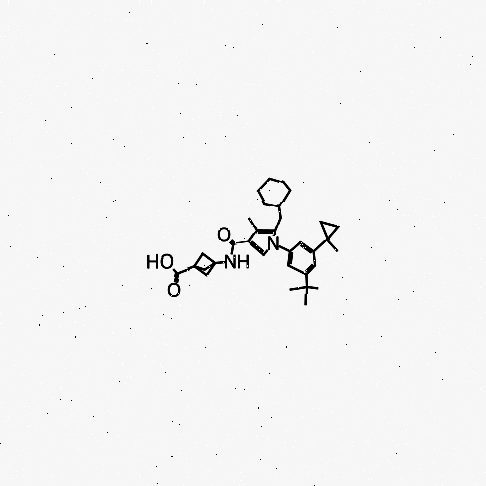 Cc1c(C(=O)NC23CC(C(=O)O)(C2)C3)cn(-c2cc(C(C)(C)C)cc(C3(C)CC3)c2)c1CC1CCCCC1